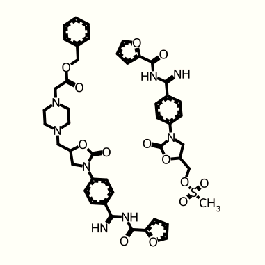 CS(=O)(=O)OCC1CN(c2ccc(C(=N)NC(=O)c3ccco3)cc2)C(=O)O1.N=C(NC(=O)c1ccco1)c1ccc(N2CC(CN3CCN(CC(=O)OCc4ccccc4)CC3)OC2=O)cc1